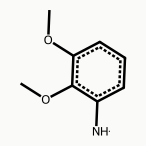 COc1cccc([NH])c1OC